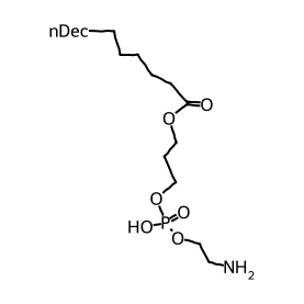 CCCCCCCCCCCCCCCC(=O)OCCCOP(=O)(O)OCCN